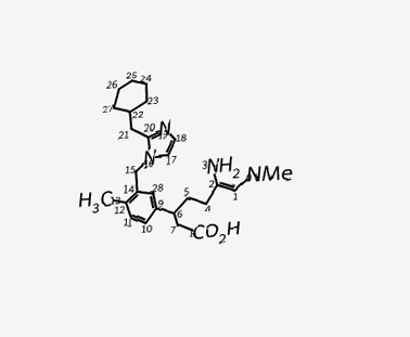 CN/C=C(\N)CCC(CC(=O)O)c1ccc(C)c(Cn2ccnc2CC2CCCCC2)c1